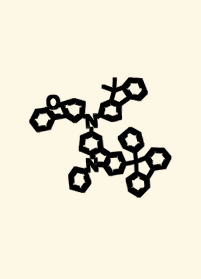 CC1(C)c2ccccc2-c2ccc(N(c3ccc4oc5ccccc5c4c3)c3ccc4c(c3)c3cc(C5(c6ccccc6)c6ccccc6-c6ccccc65)ccc3n4-c3ccccc3)cc21